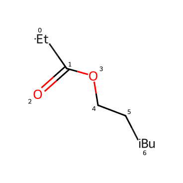 C[CH]C(=O)OCCC(C)CC